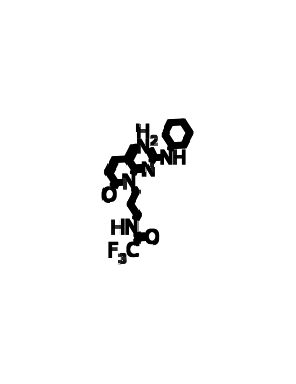 C=C(/N=C1\C(=C/N)C=CC(=O)N1CCCNC(=O)C(F)(F)F)NC1CCCCC1